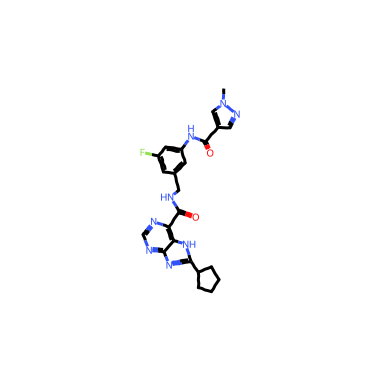 Cn1cc(C(=O)Nc2cc(F)cc(CNC(=O)c3ncnc4nc(C5CCCC5)[nH]c34)c2)cn1